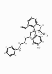 C=Cc1cccc2c1[N+](CCCCCOc1ccccc1)(c1ccccc1)C(N)S2.[I-]